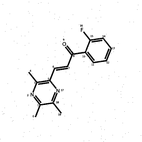 Cc1nc(C)c(/C=C/C(=O)c2ccccc2F)nc1C